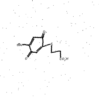 CC(C)(C)C1=CC(=O)C(SCCC(=O)O)=CC1=O